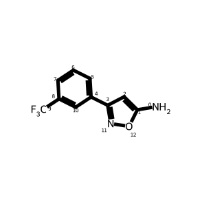 Nc1cc(-c2cccc(C(F)(F)F)c2)no1